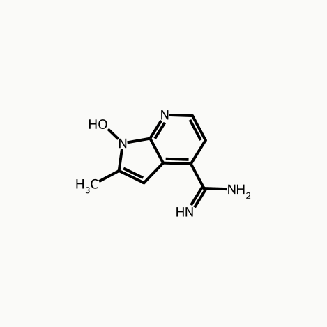 Cc1cc2c(C(=N)N)ccnc2n1O